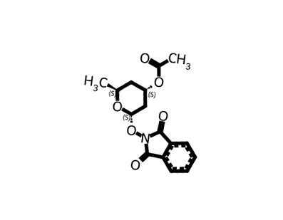 CC(=O)O[C@@H]1C[C@H](ON2C(=O)c3ccccc3C2=O)O[C@@H](C)C1